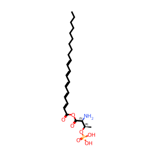 CCCCCCCCCC=CC=CC=CC=CC=CC(=O)OC(=O)[C@@H](N)[C@@H](C)OP(=O)(O)O